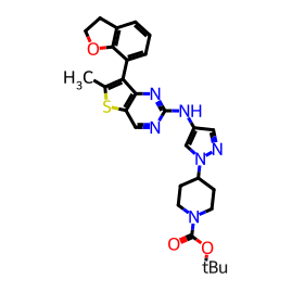 Cc1sc2cnc(Nc3cnn(C4CCN(C(=O)OC(C)(C)C)CC4)c3)nc2c1-c1cccc2c1OCC2